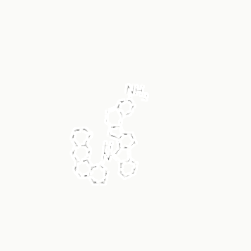 Nc1ccc2c(c1)CCC1=C2c2ccc3c(c2=C1)=C(Nc1cccc2ccc4cc5ccccc5cc4c12)c1ccccc1-3